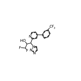 OC(C(F)F)C(c1cc(-c2cccc(C(F)(F)F)c2)ccn1)n1ccnn1